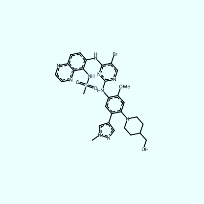 COc1cc(N2CCC(CO)CC2)c(-c2cnn(C)c2)cc1Nc1ncc(Br)c(Nc2ccc3nccnc3c2NS(C)(=O)=O)n1